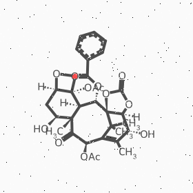 CC(=O)O[C@H]1C(=O)[C@@]2(C)[C@H]([C@H](OC(=O)c3ccccc3)[C@]34OC(=O)O[C@H]3[C@H](O)C(C)=C1C4(C)C)[C@]1(OC(C)=O)CO[C@@H]1C[C@@H]2O